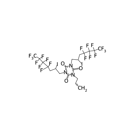 C=CCn1c(=O)n(CC(I)CC(F)(F)C(F)(F)C(F)(F)C(F)(F)F)c(=O)n(CC(I)CC(F)(F)C(F)(F)C(F)(F)C(F)(F)F)c1=O